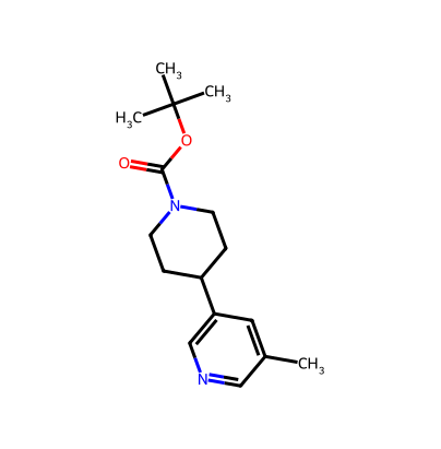 Cc1cncc(C2CCN(C(=O)OC(C)(C)C)CC2)c1